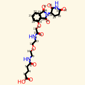 O=C(O)CCCC(=O)NCCOCCNC(=O)COc1cccc2c1C(=O)N(C1CCC(=O)NC1=O)C2=O